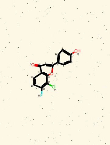 O=c1cc(-c2ccc(O)cc2)oc2c(Cl)c(F)ccc12